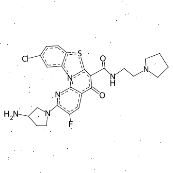 NC1CCN(c2nc3c(cc2F)c(=O)c(C(=O)NCCN2CCCC2)c2sc4ccc(Cl)cc4n23)C1